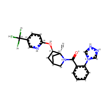 O=C(c1ccccc1-n1cnnc1)N1CC2C[C@@H](Oc3ccc(C(F)(F)F)cn3)[C@@H]1C2